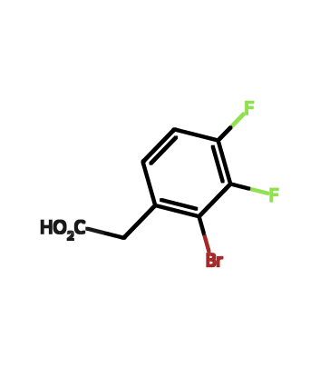 O=C(O)Cc1ccc(F)c(F)c1Br